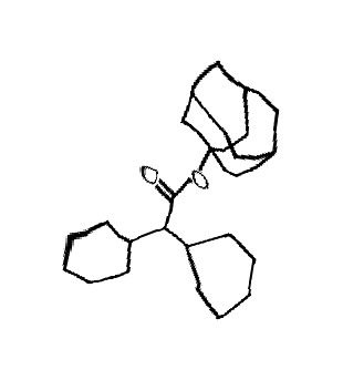 O=C(OC12CC3CC(CC(C3)C1)C2)C(C1CCCCC1)C1CCCCC1